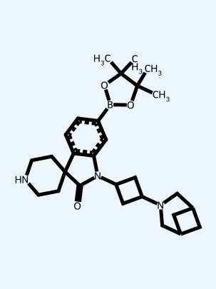 CC1(C)OB(c2ccc3c(c2)N(C2CC(N4CC5CC(C5)C4)C2)C(=O)C32CCNCC2)OC1(C)C